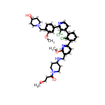 COCCC(=O)N1CCC(NCc2ccc(-c3cccc(-c4ccnc(-c5ccc(CN6CCC(O)CC6)c(OC)c5)c4Cl)c3Cl)nc2OC)CC1